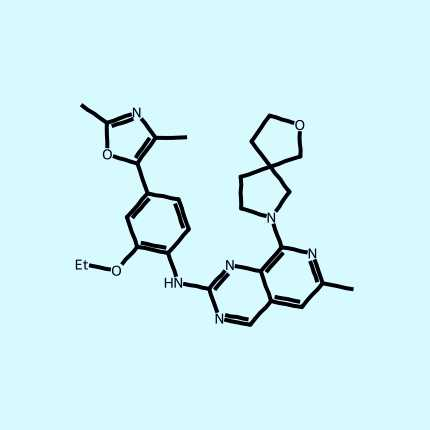 CCOc1cc(-c2oc(C)nc2C)ccc1Nc1ncc2cc(C)nc(N3CCC4(CCOC4)C3)c2n1